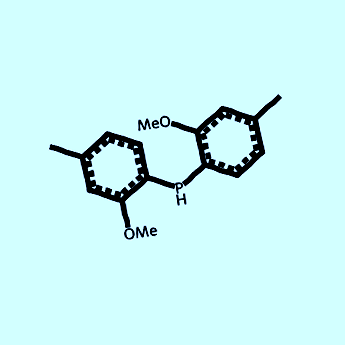 COc1cc(C)ccc1Pc1ccc(C)cc1OC